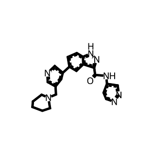 O=C(Nc1ccnnc1)c1n[nH]c2ccc(-c3cncc(CN4CCCCC4)c3)cc12